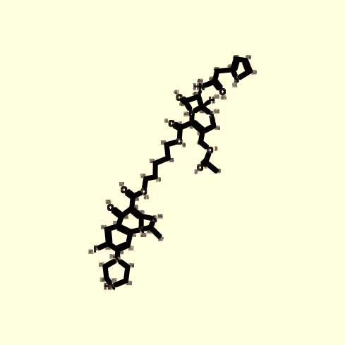 CC(=O)OCC1=C(C(=O)OCCCCCOC(=O)c2c3n(c4cc(N5CCNCC5)c(F)cc4c2=O)C(C)S3)N2C(=O)[C@H](NC(=O)Cc3cccs3)[C@@H]2SC1